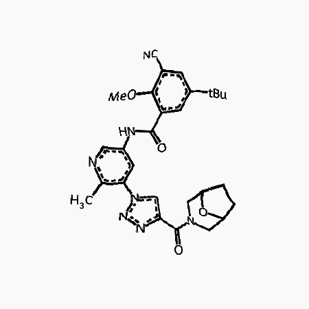 COc1c(C#N)cc(C(C)(C)C)cc1C(=O)Nc1cnc(C)c(-n2cc(C(=O)N3CC4CCC(C3)O4)nn2)c1